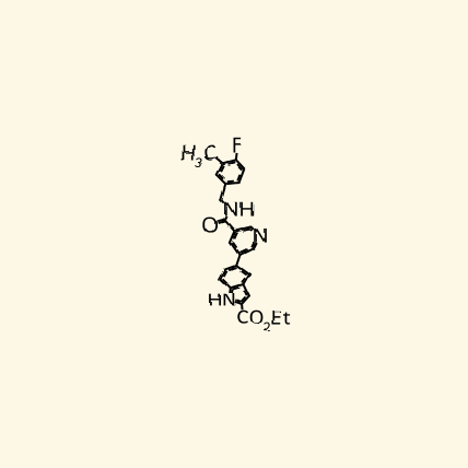 CCOC(=O)c1cc2cc(-c3cncc(C(=O)NCc4ccc(F)c(C)c4)c3)ccc2[nH]1